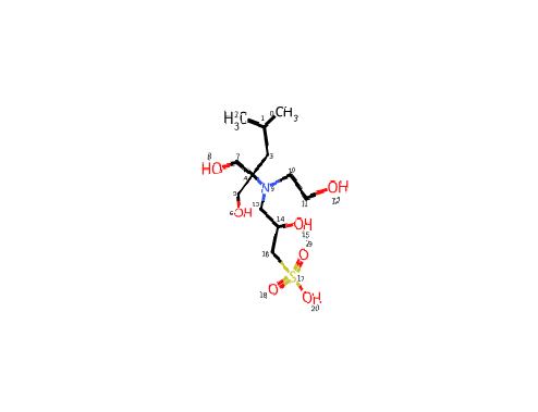 CC(C)CC(CO)(CO)N(CCO)CC(O)CS(=O)(=O)O